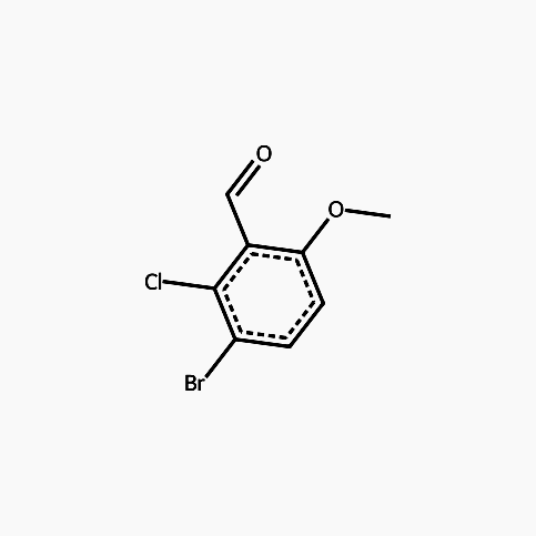 COc1ccc(Br)c(Cl)c1C=O